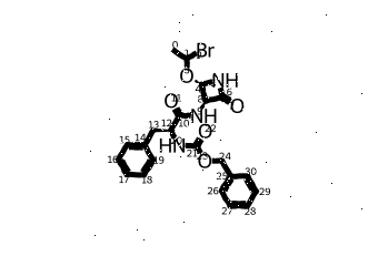 CC(Br)O[C@@H]1NC(=O)[C@H]1NC(=O)[C@H](Cc1ccccc1)NC(=O)OCc1ccccc1